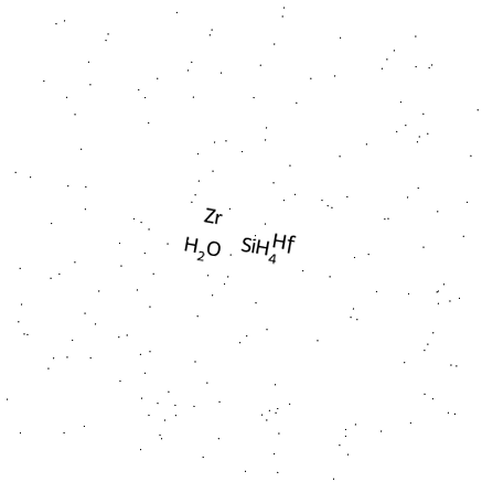 O.[Hf].[SiH4].[Zr]